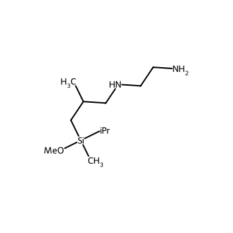 CO[Si](C)(CC(C)CNCCN)C(C)C